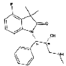 CNC[C@@H](O)[C@H](c1ccccc1)N1C(=O)C(C)(C)c2c(F)cccc21